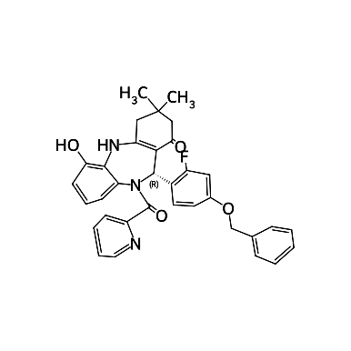 CC1(C)CC(=O)C2=C(C1)Nc1c(O)cccc1N(C(=O)c1ccccn1)[C@H]2c1ccc(OCc2ccccc2)cc1F